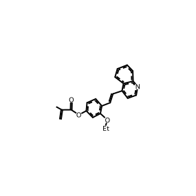 C=C(C)C(=O)Oc1ccc(/C=C/c2ccnc3ccccc23)c(OCC)c1